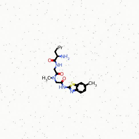 Cc1ccc2nc(NC(=O)CN(C)C(=O)CNC(=O)C(N)CC(C)C)sc2c1